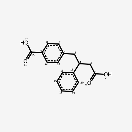 O=C(O)CC(Cc1ccc(C(=O)O)cc1)c1ccccc1